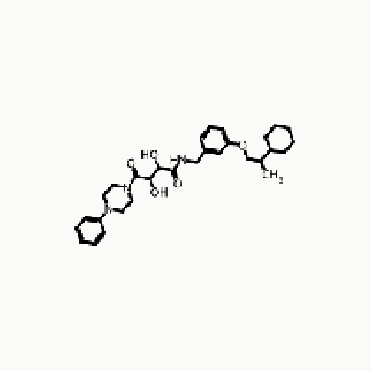 CC(COc1cccc(CNC(=O)[C@H](O)[C@@H](O)C(=O)N2CCN(c3ccccc3)CC2)c1)C1CCCCC1